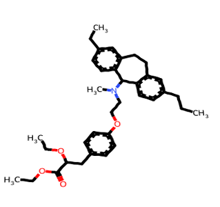 CCCc1ccc2c(c1)CCc1cc(CC)ccc1C2N(C)CCOc1ccc(CC(OCC)C(=O)OCC)cc1